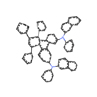 c1ccc(-c2cc(-c3ccccc3)c3c4ccc(N(c5ccccc5)c5ccc6ccccc6c5)cc4c4cc(N(c5ccccc5)c5ccc6ccccc6c5)ccc4c3c2-c2ccccc2)cc1